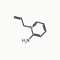 C=CC[n+]1ccccc1N